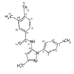 Cc1ccc(-n2nc(C)cc2NC(=O)c2ccc(C)c(C)c2)cc1